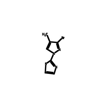 Cc1cn(-c2nccs2)nc1Br